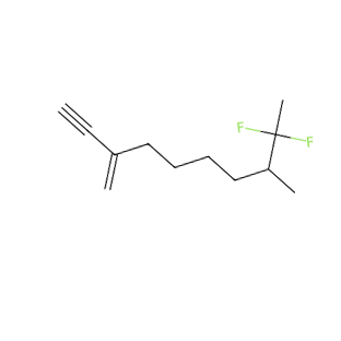 C#CC(=C)CCCCC(C)C(C)(F)F